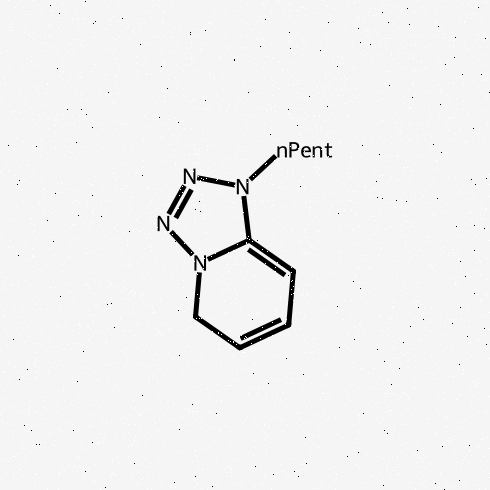 CCCCCN1N=NN2CC=CC=C21